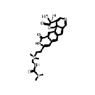 CC[C@@]1(O)C(=O)OCC23C(=Cc4cc5cc(CC[Si](C)(C)CNC(=O)N(C)C)[nH]c(=O)c5cc42)C=NC=C31